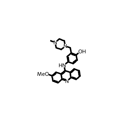 COc1ccc2nc3ccccc3c(Nc3ccc(O)c(CN4CCN(C)CC4)c3)c2c1